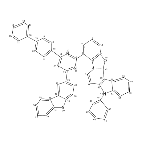 C1=CC2c3c(cccc3-c3nc(-c4ccc(-c5ccccc5)cc4)nc(-c4ccc5sc6ccccc6c5c4)n3)OC2c2c1n(-c1ccccc1)c1ccccc21